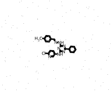 Cc1ccc(C=NNc2nc(Nc3ccc(Cl)nc3)nc(-c3ccccc3)n2)cc1